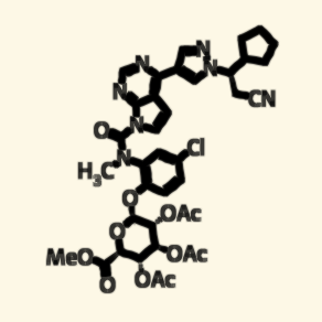 COC(=O)[C@H]1O[C@@H](Oc2ccc(Cl)cc2N(C)C(=O)n2ccc3c(-c4cnn([C@H](CC#N)C5CCCC5)c4)ncnc32)[C@H](OC(C)=O)[C@@H](OC(C)=O)[C@@H]1OC(C)=O